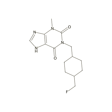 Cn1c(=O)n(CC2CCC(CF)CC2)c(=O)c2[nH]cnc21